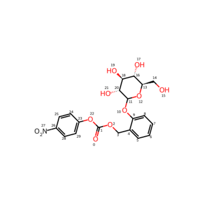 O=C(OCc1ccccc1OC1O[C@H](CO)[C@@H](O)[C@H](O)[C@H]1O)Oc1ccc([N+](=O)[O-])cc1